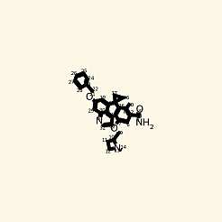 Cc1c(C(N)=O)cc(OCC2CCN2C)cc1C1(c2cc(OCc3ccccc3)cc3ncccc23)CC1